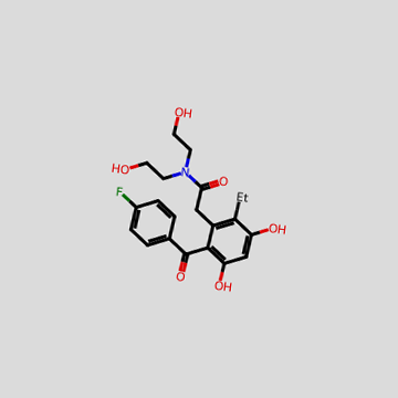 CCc1c(O)cc(O)c(C(=O)c2ccc(F)cc2)c1CC(=O)N(CCO)CCO